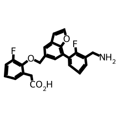 NCc1cccc(-c2cc(COc3c(F)cccc3CC(=O)O)cc3ccoc23)c1F